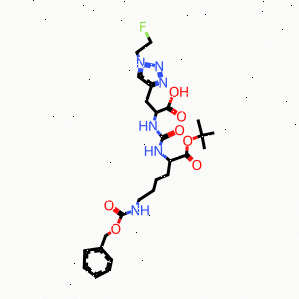 CC(C)(C)OC(=O)C(CCCCNC(=O)OCc1ccccc1)NC(=O)NC(Cc1cn(CCF)nn1)C(=O)O